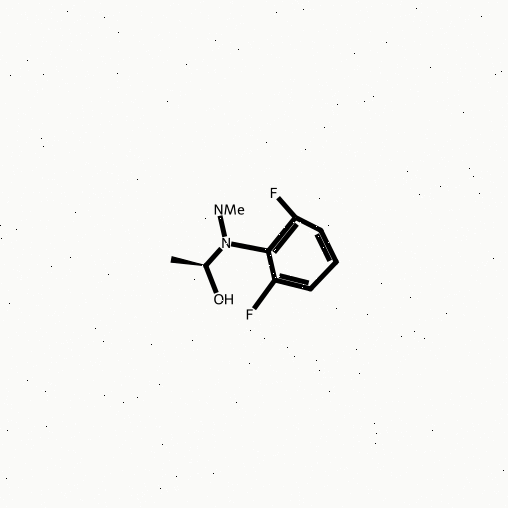 CNN(c1c(F)cccc1F)[C@H](C)O